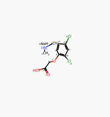 CNC.O=C(O)COc1ccc(Cl)cc1Cl.[NaH]